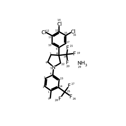 Cc1ccc(N2CCC(c3cc(Cl)c(Cl)c(Cl)c3)(C(F)(F)F)C2)cc1C(F)(F)F.N